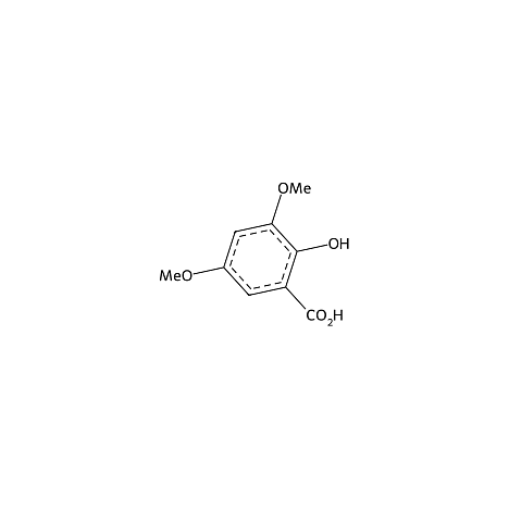 COc1cc(OC)c(O)c(C(=O)O)c1